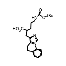 CC(C)(C)OC(=O)NCCCC(Cc1ncn2c1CCc1ccccc1-2)C(=O)O